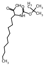 CCCCCCCCCCC(NC(=O)OC(C)(C)C)C(=O)O